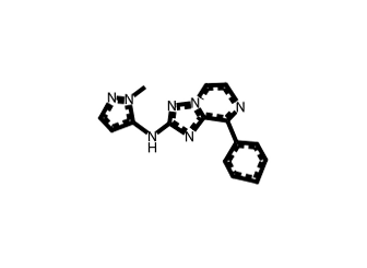 Cn1nccc1Nc1nc2c(-c3ccccc3)nccn2n1